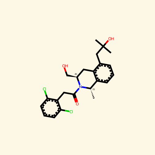 C[C@H]1c2cccc(CC(C)(C)O)c2C[C@H](CO)N1C(=O)Cc1c(Cl)cccc1Cl